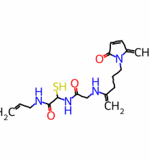 C=CCNC(=O)C(S)NC(=O)CNC(=C)CCCN1C(=C)C=CC1=O